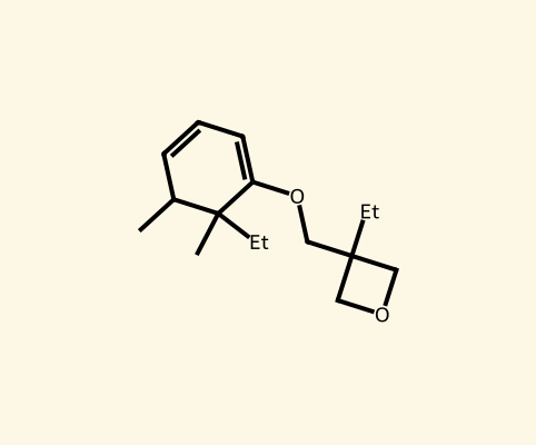 CCC1(COC2=CC=CC(C)C2(C)CC)COC1